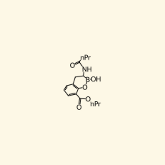 CCCOC(=O)c1cccc2c1OB(O)C(NC(=O)CCC)C2